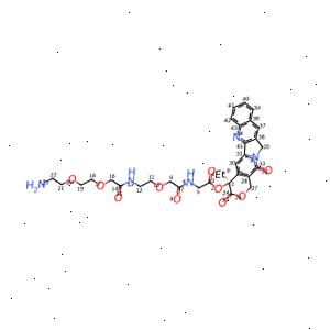 CC[C@@]1(OC(=O)CNC(=O)COCCNC(=O)COCCOCCN)C(=O)OCc2c1cc1n(c2=O)Cc2cc3ccccc3nc2-1